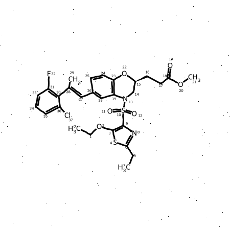 CCOc1sc(CC)nc1S(=O)(=O)N1C[C@H](CCC(=O)OC)Oc2ccc(/C=C(\C)c3c(F)cccc3Cl)cc21